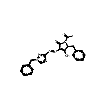 CC(=O)N1C(=O)C(N=Nc2ncn(Cc3ccccc3)n2)=C(O)C1Cc1ccccc1